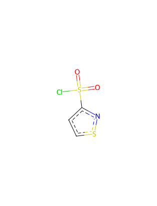 O=S(=O)(Cl)c1ccsn1